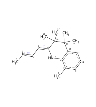 C/N=C/C=C1\Nc2c(C)cccc2C(C)(C)C1(C)C